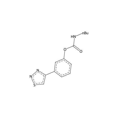 CCCCNC(=O)Oc1cccc(-c2csnn2)c1